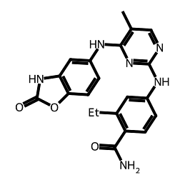 CCc1cc(Nc2ncc(C)c(Nc3ccc4oc(=O)[nH]c4c3)n2)ccc1C(N)=O